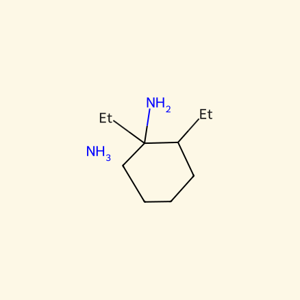 CCC1CCCCC1(N)CC.N